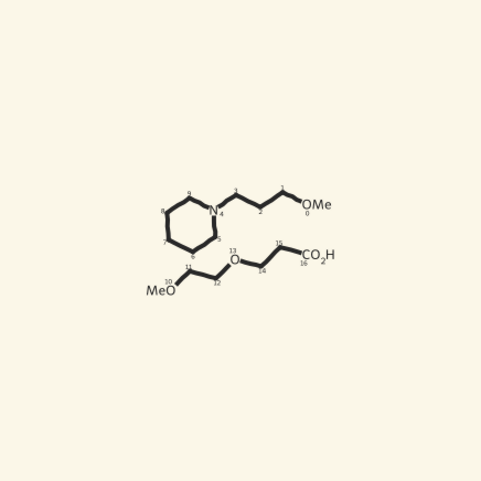 COCCCN1CCCCC1.COCCOCCC(=O)O